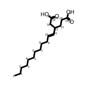 CCCCCCCCCC/C=C/C(CCC(=O)O)CC(=O)O